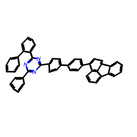 c1ccc(-c2nc(-c3ccc(-c4ccc(-c5ccc6c7c(cccc57)-c5ccccc5-6)cc4)cc3)nc(-c3ccccc3-c3ccccc3)n2)cc1